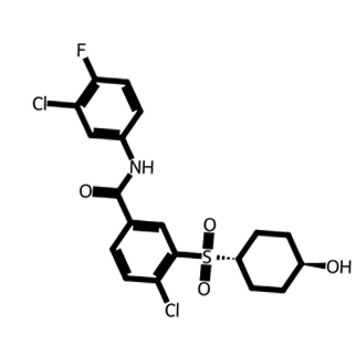 O=C(Nc1ccc(F)c(Cl)c1)c1ccc(Cl)c(S(=O)(=O)[C@H]2CC[C@H](O)CC2)c1